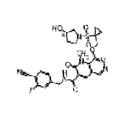 Cn1c(=O)c(C(=O)NCc2ccc(C#N)c(F)c2)cc2cnnc(OCC3(S(=O)(=O)N4CC[C@@H](O)C4)CC3)c21